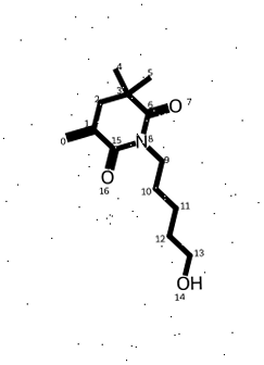 C=C1CC(C)(C)C(=O)N(CCCCCO)C1=O